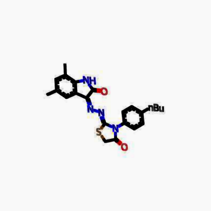 CCCCc1ccc(N2C(=O)CSC2=NN=C2C(=O)Nc3c(C)cc(C)cc32)cc1